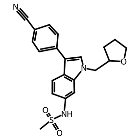 CS(=O)(=O)Nc1ccc2c(-c3ccc(C#N)cc3)cn(CC3CCCO3)c2c1